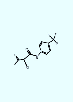 CC(=O)C(Cl)C(=O)Nc1ccc(C(F)(F)F)cc1